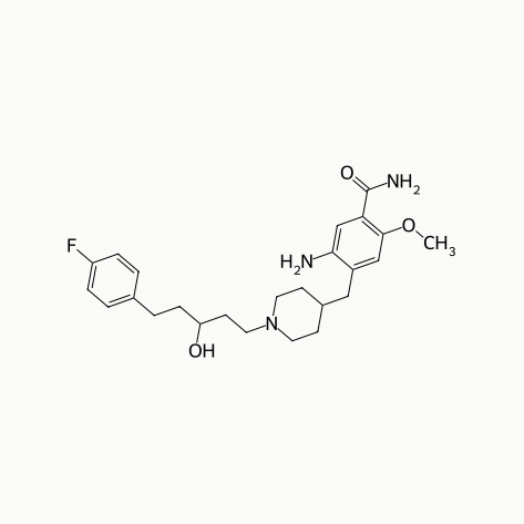 COc1cc(CC2CCN(CCC(O)CCc3ccc(F)cc3)CC2)c(N)cc1C(N)=O